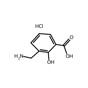 Cl.NCc1cccc(C(=O)O)c1O